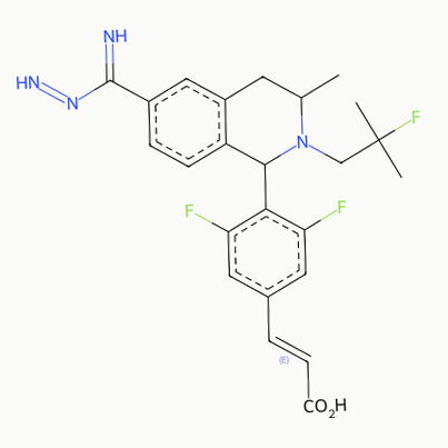 CC1Cc2cc(C(=N)N=N)ccc2C(c2c(F)cc(/C=C/C(=O)O)cc2F)N1CC(C)(C)F